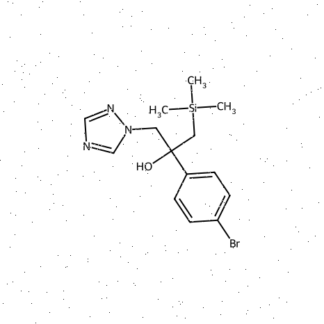 C[Si](C)(C)CC(O)(Cn1cncn1)c1ccc(Br)cc1